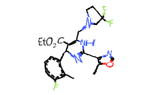 CCOC(=O)C1=C(CN2CCC(F)(F)C2)NC(c2ncoc2C)=NC1c1cccc(F)c1C